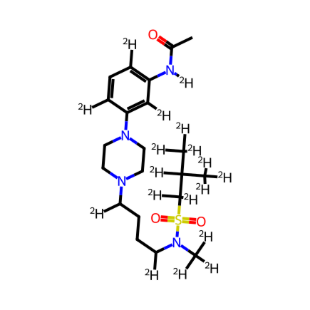 [2H]c1cc([2H])c(N([2H])C(C)=O)c([2H])c1N1CCN(C([2H])CCC([2H])N(C([2H])([2H])[2H])S(=O)(=O)C([2H])([2H])C([2H])(C([2H])([2H])[2H])C([2H])([2H])[2H])CC1